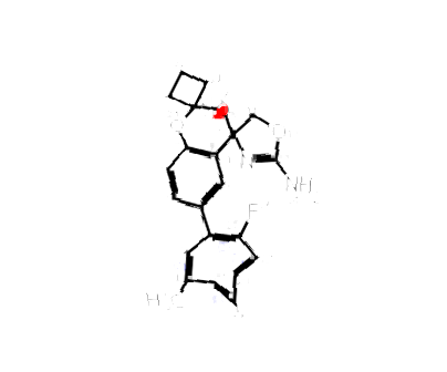 CC1=C/C(c2ccc3c(c2)C2(COC(N)=N2)C2(COC2)C2(CCC2)O3)=C(F)\C=C\C=C\1